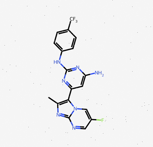 Cc1nc2ncc(F)cn2c1-c1cc(N)nc(Nc2ccc(C(F)(F)F)cc2)n1